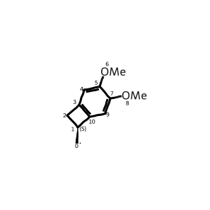 [CH2][C@H]1Cc2cc(OC)c(OC)cc21